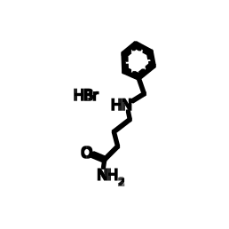 Br.NC(=O)CCCNCc1ccccc1